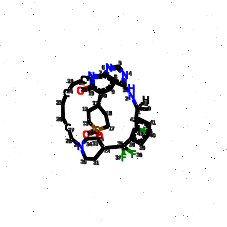 C[C@H]1Nc2ncnc3c2cc(C2CCS(=O)(=O)CC2)c(=O)n3CCCCCCCN2CCC(CC2)C(F)(F)c2cccc1c2F